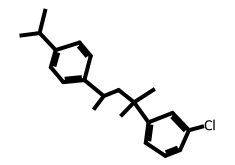 CC(C)c1ccc(C(C)CC(C)(C)c2cccc(Cl)c2)cc1